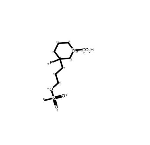 CS(=O)(=O)OCCCC1(F)CCCN(C(=O)O)C1